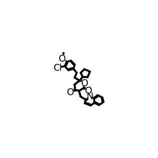 COc1ccc(CCC2(C3CCCC3)CC(=O)C(Cc3ccc4ccccc4n3)C(=O)O2)cc1Cl